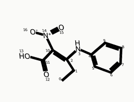 CCC(Nc1ccccc1)=C(C(=O)O)[N+](=O)[O-]